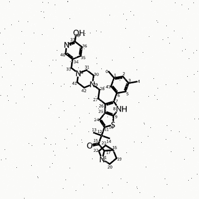 Cc1cc(C)cc(-c2[nH]c3sc(C(C)(C)C(=O)C4C5CCN4CC5)cc3c2CCN2CCN(Cc3ccc(O)nc3)CC2)c1